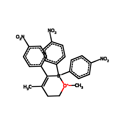 CC1=C(c2ccc([N+](=O)[O-])cc2)[B-](c2ccc([N+](=O)[O-])cc2)(c2ccc([N+](=O)[O-])cc2)[O+](C)CC1